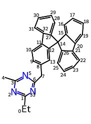 CCc1nc(C)nc(Cc2ccc3c(c2)C2(c4ccccc4-c4ccccc42)c2ccccc2-3)n1